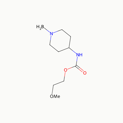 BN1CCC(NC(=O)OCCOC)CC1